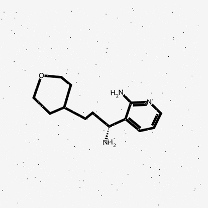 Nc1ncccc1[C@H](N)CCC1CCOCC1